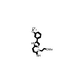 COCCOC(=N)/C=C\c1ncc(-c2cccc(OC(F)(F)F)c2)[nH]1